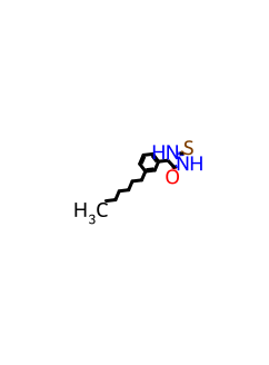 CCCCCCCc1cccc(C2NC(=S)NC2=O)c1